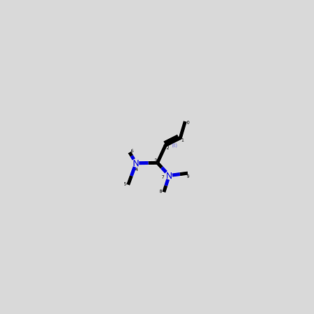 C/C=C/C(N(C)C)N(C)C